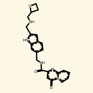 O=C(NCc1ccc2cc(CNCC3CCO3)[nH]c2c1)c1cc(=O)n2ccccc2n1